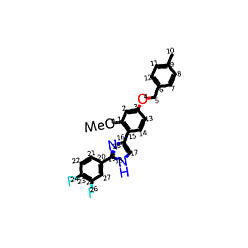 COc1cc(OCc2ccc(C)cc2)ccc1-c1c[nH]c(-c2ccc(F)c(F)c2)n1